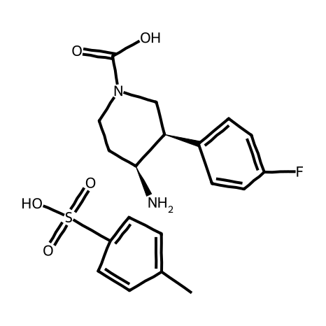 Cc1ccc(S(=O)(=O)O)cc1.N[C@H]1CCN(C(=O)O)C[C@H]1c1ccc(F)cc1